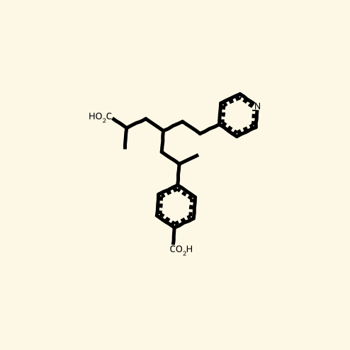 CC(CC(CCc1ccncc1)CC(C)c1ccc(C(=O)O)cc1)C(=O)O